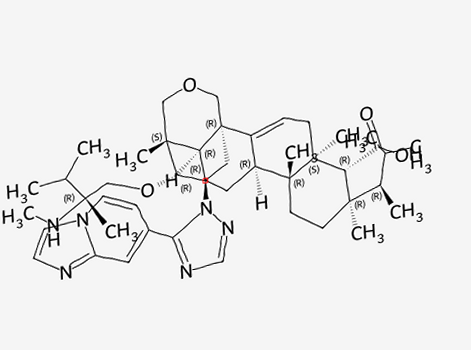 CN[C@@](C)(CO[C@H]1[C@H](n2ncnc2-c2ccn3ccnc3c2)C[C@@]23COC[C@]1(C)[C@@H]2CC[C@H]1C3=CC[C@@]2(C)[C@H](C(=O)O)[C@@](C)([C@H](C)C(C)C)CC[C@]12C)C(C)C